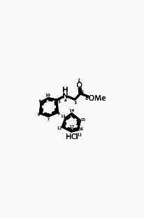 COC(=O)CNc1ccccc1.Cl.c1ccccc1